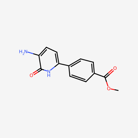 COC(=O)c1ccc(-c2ccc(N)c(=O)[nH]2)cc1